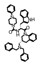 O=C(N[C@H](Cc1c[nH]c2ccccc12)C(=O)N1C[C@@H](CN(Cc2ccccc2)Cc2ccccc2)Cc2ccccc21)N1CCN(c2ccccc2)CC1